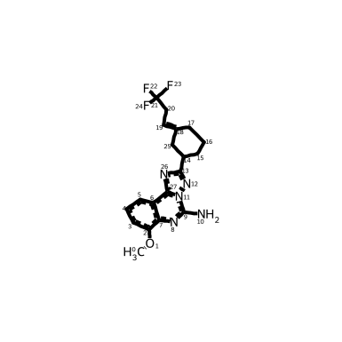 COc1cccc2c1nc(N)n1nc(C3CCCC(=CCC(F)(F)F)C3)nc21